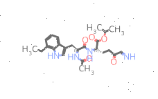 CCc1cccc2c(C[C@H](NC(C)=O)C(=O)N[C@@H](CCC(=O)C=N)C(=O)OC(C)C)c[nH]c12